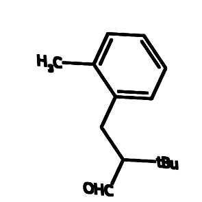 Cc1ccccc1CC(C=O)C(C)(C)C